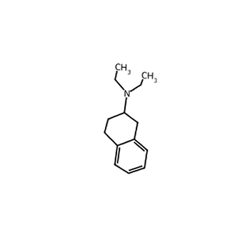 CCN(CC)C1CCc2ccccc2C1